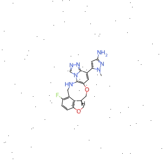 Cn1nc(N)cc1-c1cc2c(n3cnnc13)NCc1c(F)ccc3c1[C@@H](CO3)CO2